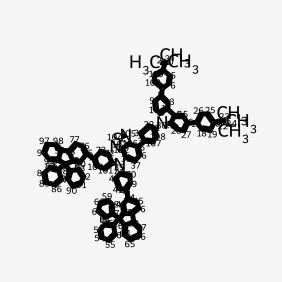 CC(C)(C)c1ccc(-c2ccc3c(c2)c2cc(-c4ccc(C(C)(C)C)cc4)ccc2n3-c2ccc(-c3ccc(N(c4ccc(-c5ccc6c(c5)C(c5ccccc5)(c5ccccc5)c5ccccc5-6)cc4)c4ccc(-c5ccc6c(c5)C(c5ccccc5)(c5ccccc5)c5ccccc5-6)cc4)c4nsnc34)cc2)cc1